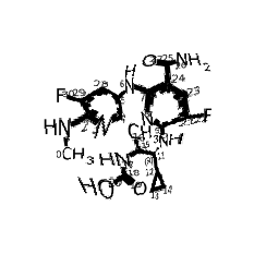 CNc1ncc(Nc2nc(N[C@H](C3CC3)[C@H](C)NC(=O)O)c(F)cc2C(N)=O)cc1F